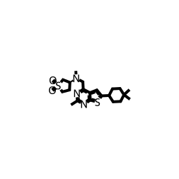 Cc1nc(CN(C)[C@H]2CCS(=O)(=O)C2)c2cc(C3CCC(C)(C)CC3)sc2n1